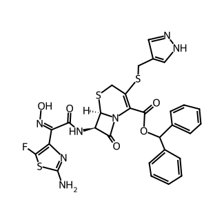 Nc1nc(/C(=N/O)C(=O)N[C@@H]2C(=O)N3C(C(=O)OC(c4ccccc4)c4ccccc4)=C(SCc4cn[nH]c4)CS[C@H]23)c(F)s1